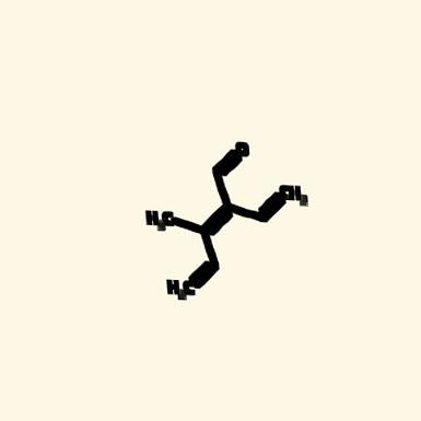 C=C/C(C)=C(\C=C)C=O